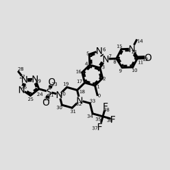 Cc1cc2c(cnn2-c2ccc(=O)n(C)c2)cc1C1CN(S(=O)(=O)c2cnn(C)n2)CCN1CCC(F)(F)F